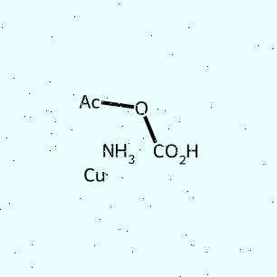 CC(=O)OC(=O)O.N.[Cu]